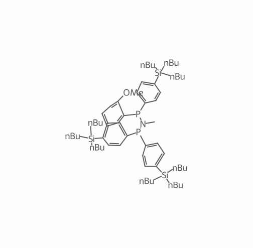 CCCC[Si](CCCC)(CCCC)c1ccc(P(c2ccc([Si](CCCC)(CCCC)CCCC)cc2)N(C)P(c2ccc([Si](CCCC)(CCCC)CCCC)cc2)c2ccccc2OC)cc1